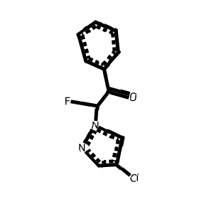 O=C(c1ccccc1)C(F)n1cc(Cl)cn1